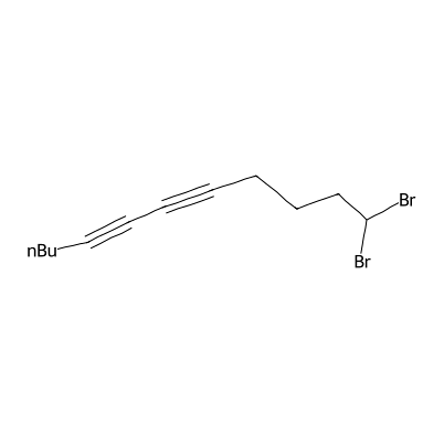 CCCCC#CC#CCCCC(Br)Br